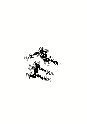 C=CC(=O)OCCCCOc1c(OC)cc(C(=O)O)c(-c2ccc(-c3c(C(=O)O)cc(OC)c(OCCCCOC(=O)C=C)c3OC)c(OC)c2)c1OC.C=CC(=O)OCCCCOc1ccc(C(=O)O)c(OC)c1-c1ccc(-c2c(OCCCCOC(=O)C=C)ccc(C(=O)O)c2OC)c(OC)c1